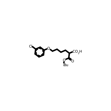 CCC(C)OC(=O)C(CCCCOc1cccc(Cl)c1)C(=O)O